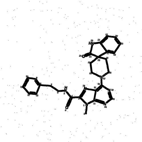 Cn1c(C(=O)NCCc2ccccc2)nc2c(N3CCC4(CC3)C(=O)Nc3ccccc34)ncnc21